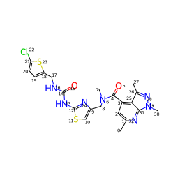 Cc1cc(C(=O)N(C)Cc2csc(NC(=O)NCc3ccc(Cl)s3)n2)c2c(C)nn(C)c2n1